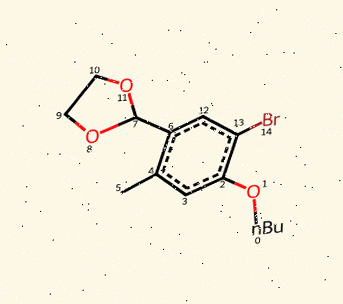 CCCCOc1cc(C)c(C2OCCO2)cc1Br